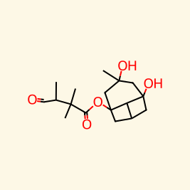 CC(C=O)C(C)(C)C(=O)OC12CC3CC(O)(CC(C)(O)C1)C32